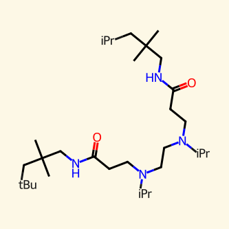 CC(C)CC(C)(C)CNC(=O)CCN(CCN(CCC(=O)NCC(C)(C)CC(C)(C)C)C(C)C)C(C)C